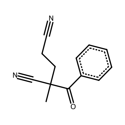 CC(C#N)(CCC#N)C(=O)c1ccccc1